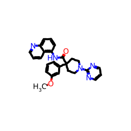 COc1cccc(C2(C(=O)Nc3cccc4ncccc34)CCN(c3ncccn3)CC2)c1